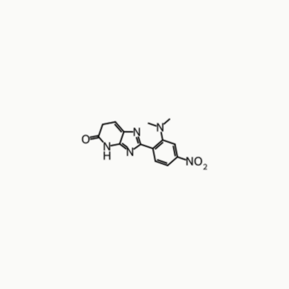 CN(C)c1cc([N+](=O)[O-])ccc1C1=NC2=CCC(=O)NC2=N1